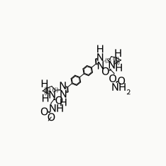 COC(=O)NCC(=O)N1[C@@H]2C[C@@H]2C[C@H]1c1nc(-c2ccc(-c3ccc(-c4c[nH]c([C@@H]5C[C@H]6C[C@H]6N5C(=O)COC(N)=O)n4)cc3)cc2)c[nH]1